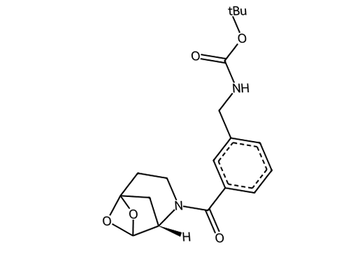 CC(C)(C)OC(=O)NCc1cccc(C(=O)N2CCC34C[C@H]2C(O3)O4)c1